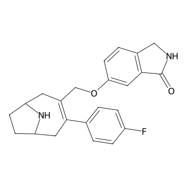 O=C1NCc2ccc(OCC3=C(c4ccc(F)cc4)CC4CCC(C3)N4)cc21